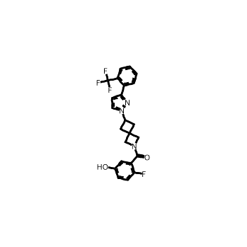 O=C(c1cc(O)ccc1F)N1CC2(CC(n3ccc(-c4ccccc4C(F)(F)F)n3)C2)C1